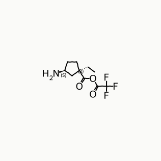 CC[C@@]1(C(=O)OC(=O)C(F)(F)F)CC[C@H](N)C1